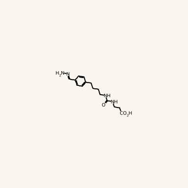 NN=Cc1ccc(CCCCNC(=O)NCCC(=O)O)cc1